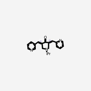 CC(C)N1C/C(=C\c2cccnc2)C(=O)/C(=C/c2ccccn2)C1